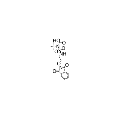 CC(C)(C)N(C(=O)O)S(=O)(=O)NCCON1C(=O)c2ccccc2C1=O